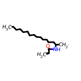 [CH2]C(CCCCCCCCCCCCCC)NC(=O)C=C